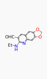 CCNc1nc2cc3c(cc2cc1C=O)OCO3